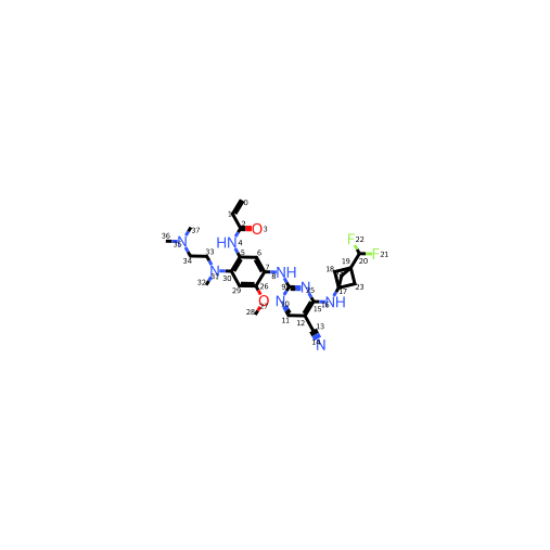 C=CC(=O)Nc1cc(Nc2ncc(C#N)c(NC34CC(C(F)F)(C3)C4)n2)c(OC)cc1N(C)CCN(C)C